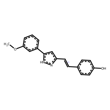 COc1cccc(-c2cc(/C=C/c3ccc(O)cc3)n[nH]2)c1